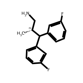 C[C@H](CN)C(c1cccc(F)c1)c1cccc(F)c1